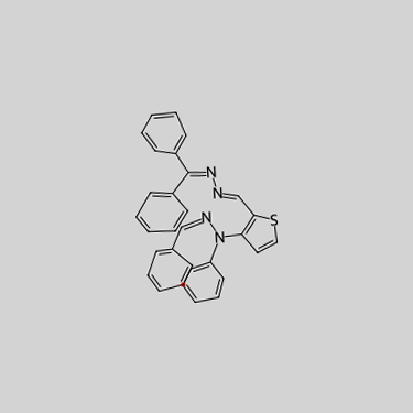 C(=NN=C(c1ccccc1)c1ccccc1)c1sccc1N(N=Cc1ccccc1)c1ccccc1